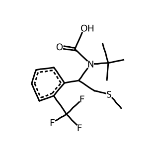 CSCC(c1ccccc1C(F)(F)F)N(C(=O)O)C(C)(C)C